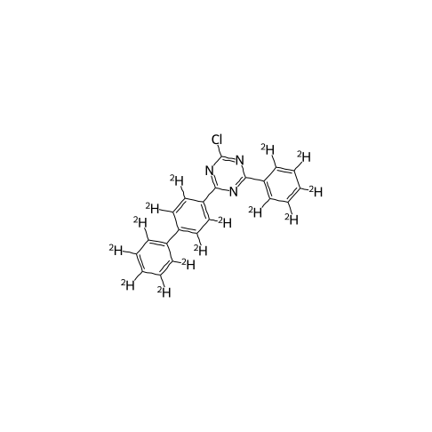 [2H]c1c([2H])c([2H])c(-c2nc(Cl)nc(-c3c([2H])c([2H])c(-c4c([2H])c([2H])c([2H])c([2H])c4[2H])c([2H])c3[2H])n2)c([2H])c1[2H]